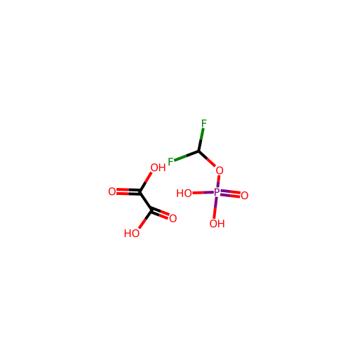 O=C(O)C(=O)O.O=P(O)(O)OC(F)F